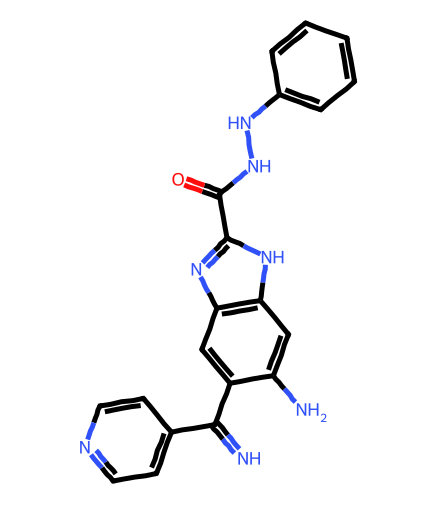 N=C(c1ccncc1)c1cc2nc(C(=O)NNc3ccccc3)[nH]c2cc1N